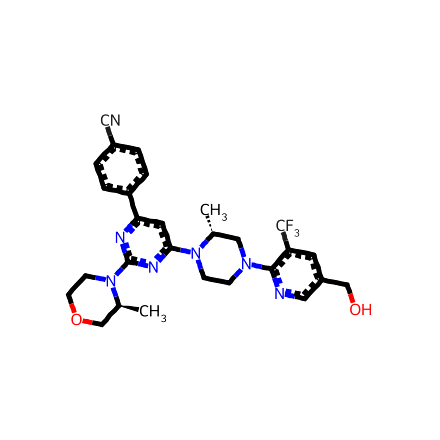 C[C@@H]1CN(c2ncc(CO)cc2C(F)(F)F)CCN1c1cc(-c2ccc(C#N)cc2)nc(N2CCOC[C@@H]2C)n1